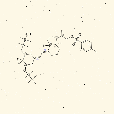 Cc1ccc(S(=O)(=O)OC[C@H](C)[C@H]2CC[C@H]3/C(=C/C=C4\C[C@@H](CC(C)(C)[Si](C)(C)O)C5(CC5)[C@H](O[Si](C)(C)C(C)(C)C)C4)CCC[C@]23C)cc1